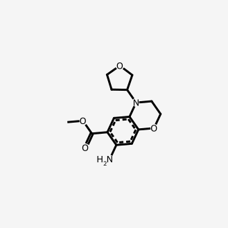 COC(=O)c1cc2c(cc1N)OCCN2C1CCOC1